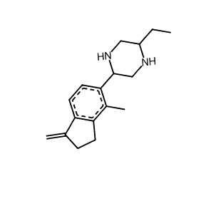 C=C1CCc2c1ccc(C1CNC(CC)CN1)c2C